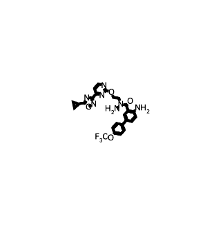 Nc1ccc(-c2ccc(OC(F)(F)F)cc2)cc1C(=O)N(N)CCOc1nccc(-c2noc(C3CC3)n2)n1